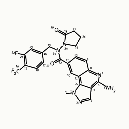 Cn1ncc2c(N)nc3ccc(C(=O)N(Cc4ccc(C(F)(F)F)c(F)c4)N4CCCC4=O)cc3c21